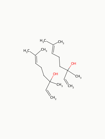 C=CC(C)(O)CCC=C(C)C.C=CC(C)(O)CCC=C(C)C